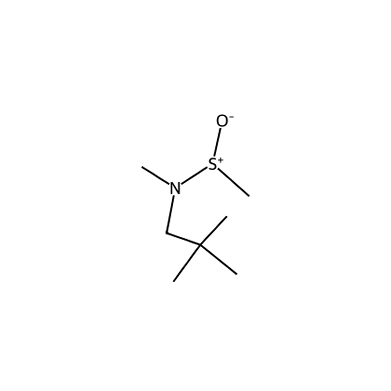 CN(CC(C)(C)C)[S+](C)[O-]